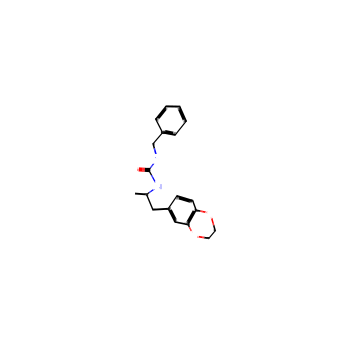 CC(Cc1ccc2c(c1)OCCO2)NC(=O)NCc1ccccc1